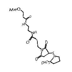 COCCC(=O)NCCNC(=O)CCN1C(=O)CC(SN2CCC[C@H]2C=O)C1=O